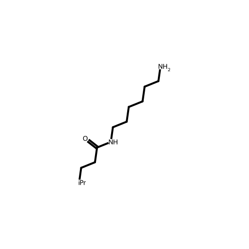 CC(C)CCC(=O)NCCCCCCN